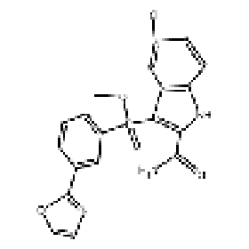 COP(=O)(c1cccc(-c2ncco2)c1)c1c(C(N)=O)[nH]c2ccc(Cl)cc12